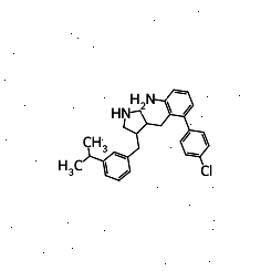 CC(C)c1cccc(CC2CNCC2Cc2c(N)cccc2-c2ccc(Cl)cc2)c1